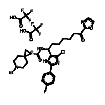 CCN1CCC2(CC1)C[C@@H]2C(=O)NC(CCCCCC(=O)c1ncco1)c1[nH]c(-c2ccc(F)cc2)nc1Cl.O=C(O)C(F)(F)F.O=C(O)C(F)(F)F